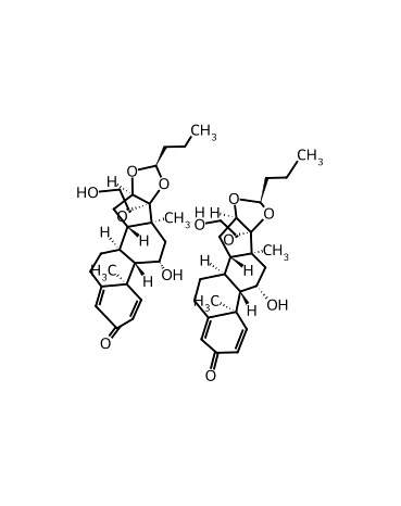 CCC[C@@H]1O[C@@H]2C[C@H]3[C@@H]4CCC5=CC(=O)C=C[C@]5(C)[C@H]4[C@@H](O)C[C@]3(C)[C@]2(C(=O)CO)O1.CCC[C@@H]1O[C@@H]2C[C@H]3[C@@H]4CCC5=CC(=O)C=C[C@]5(C)[C@H]4[C@@H](O)C[C@]3(C)[C@]2(C(=O)CO)O1